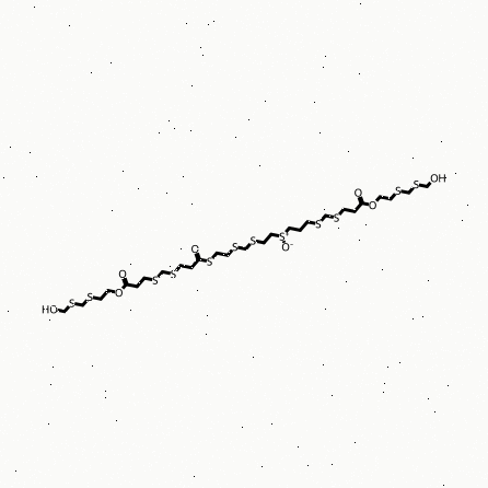 O=C(CCSCSCCC[S+]([O-])CCSCSCCSC(=O)CCSCSCCC(=O)OCCSCSCO)OCCSCSCO